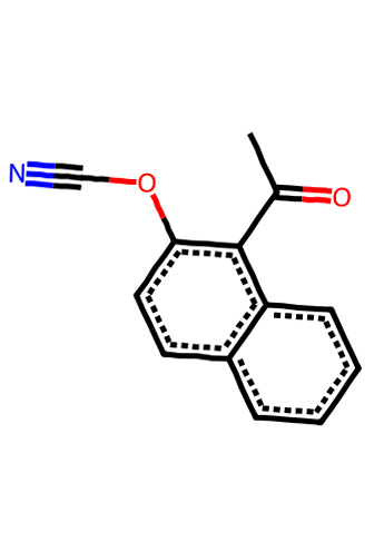 CC(=O)c1c(OC#N)ccc2ccccc12